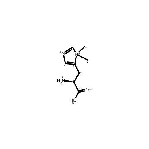 C[N+]1(C)C=NC=C1C[C@H](N)C(=O)O